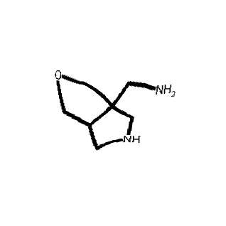 NCC12CNCC1COC2